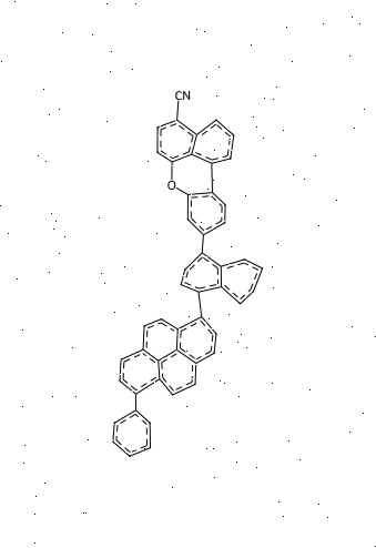 N#Cc1ccc2c3c(cccc13)-c1ccc(-c3ccc(-c4ccc5ccc6c(-c7ccccc7)ccc7ccc4c5c76)c4ccccc34)cc1O2